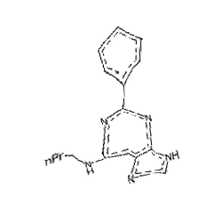 CCCNc1nc(-c2ccccc2)nc2[nH]cnc12